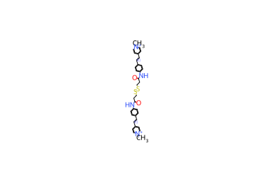 C[n+]1ccc(/C=C/c2ccc(NC(=O)CCSSCCC(=O)Nc3ccc(/C=C/c4cc[n+](C)cc4)cc3)cc2)cc1